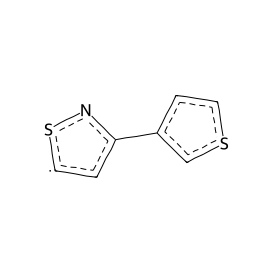 [c]1cc(-c2ccsc2)ns1